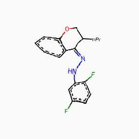 CCCC1COc2ccccc2C1=NNc1cc(F)ccc1F